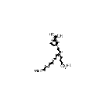 CCOC(=O)CCCN(CCOCCOCCOC)CCOc1ccnc(C(O)O)c1